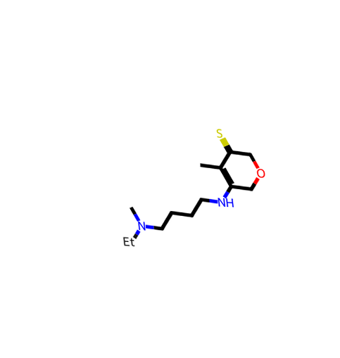 CCN(C)CCCCNC1=C(C)C(=S)COC1